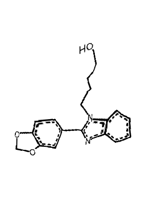 OCCCCn1c(-c2ccc3c(c2)OCO3)nc2ccccc21